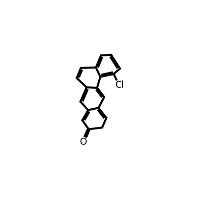 O=C1C=c2cc3ccc4cccc(Cl)c4c3cc2=CC1